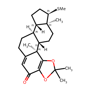 CS[C@@H]1CC[C@H]2[C@@H]3CCC4=CC(=O)C5=C(OC(C)(C)O5)[C@]4(C)[C@H]3CC[C@]12C